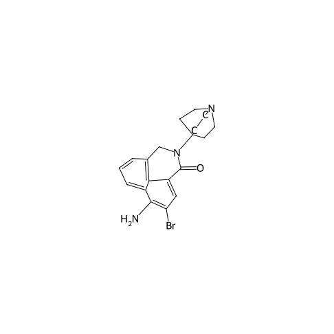 Nc1c(Br)cc2c3c(cccc13)CN(C13CCN(CC1)CC3)C2=O